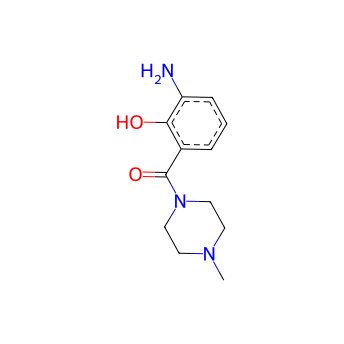 CN1CCN(C(=O)c2cccc(N)c2O)CC1